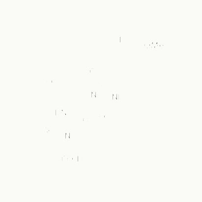 COc1ccc(C2NC(=O)N(C(Cc3ccco3)C(=O)Nc3nc(C(=O)O)cs3)C2=O)cc1F